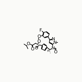 COc1cc(-c2cc(N(C=O)[C@H](C)c3ccc(S(=O)(=O)CC(=O)OC(C)C)cc3)n(C)n2)ccc1F